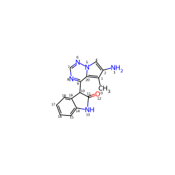 Cc1c(N)cn2ncnc(C3C(=O)Nc4ccccc43)c12